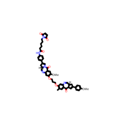 COc1ccc(C2=CC3C(=O)c4cc(C)c(OCCCOc5cc6c(cc5OC)C(=O)N5C=C(c7ccc(NC(=O)CCCCCN8C(=O)C=CC8=O)cc7)C[C@H]5C=N6)cc4N=C[C@@H]3C2)cc1